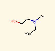 CC(C)N(CCO)CC(C)(C)C